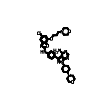 Nc1ncnc2c1c(-c1ccc(Nc3nc4cc(Cl)cc(OCCCN5CCOCC5)c4o3)cc1)nn2C1CCC(N2CCOCC2)CC1